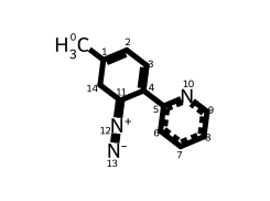 CC1=CC=C(c2ccccn2)C(=[N+]=[N-])C1